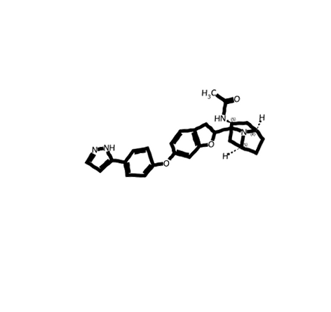 CC(=O)N[C@@H]1C[C@H]2CC[C@@H](C1)N2CC1Cc2ccc(Oc3ccc(-c4ccn[nH]4)cc3)cc2O1